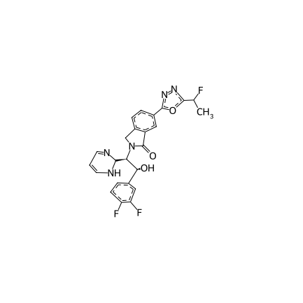 CC(F)c1nnc(-c2ccc3c(c2)C(=O)N([C@H](C2N=CC=CN2)[C@@H](O)c2ccc(F)c(F)c2)C3)o1